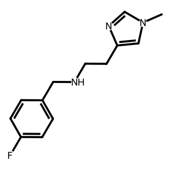 Cn1cnc(CCNCc2ccc(F)cc2)c1